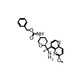 COc1ccc2nccc([C@](C)(N)[C@@H]3CC[C@@H](NC(=O)OCc4ccccc4)CO3)c2n1